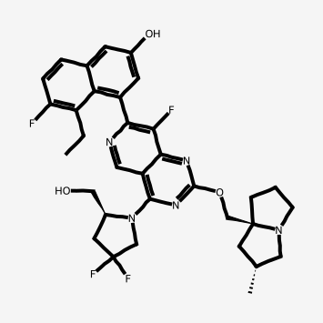 CCc1c(F)ccc2cc(O)cc(-c3ncc4c(N5CC(F)(F)C[C@H]5CO)nc(OC[C@@]56CCCN5C[C@H](C)C6)nc4c3F)c12